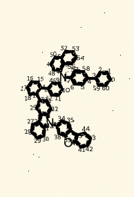 c1ccc(-c2ccc(N(c3cccc(-c4ccccc4-c4ccc5c(c4)c4ccccc4n5-c4ccc5c(c4)oc4ccccc45)c3)c3cccc4ccccc34)cc2)cc1